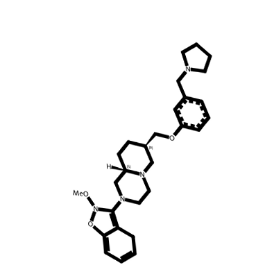 CON1OC2=CC=CCC2=C1N1CCN2C[C@H](COc3cccc(CN4CCCC4)c3)CC[C@H]2C1